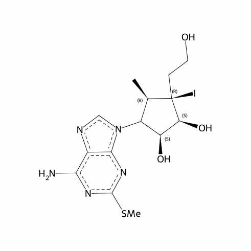 CSc1nc(N)c2ncn(C3[C@@H](C)[C@](I)(CCO)[C@@H](O)[C@H]3O)c2n1